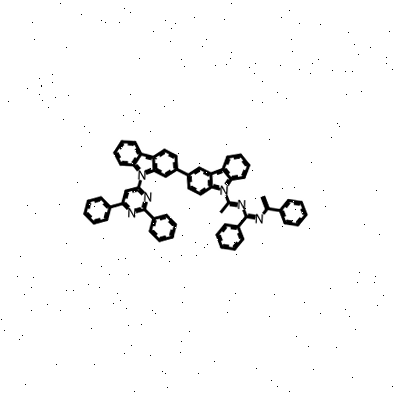 C=C(/N=C(\N=C(/C)n1c2ccccc2c2cc(-c3ccc4c5ccccc5n(-c5cc(-c6ccccc6)nc(-c6ccccc6)n5)c4c3)ccc21)c1ccccc1)c1ccccc1